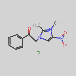 Cc1n(CC(=O)c2ccccc2)cc([N+](=O)[O-])[n+]1C.[Cl-]